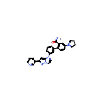 NC(=O)c1cc(N2CCCC2)ccc1-c1cccc(-n2ccn3nc(-c4cccnc4)cc23)c1